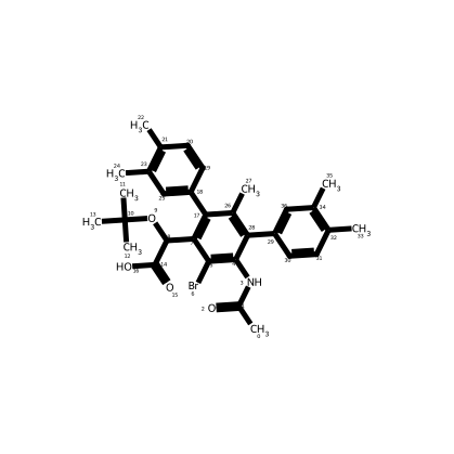 CC(=O)Nc1c(Br)c(C(OC(C)(C)C)C(=O)O)c(-c2ccc(C)c(C)c2)c(C)c1-c1ccc(C)c(C)c1